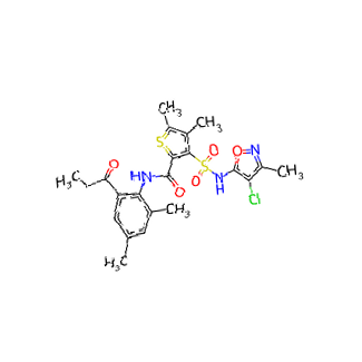 CCC(=O)c1cc(C)cc(C)c1NC(=O)c1sc(C)c(C)c1S(=O)(=O)Nc1onc(C)c1Cl